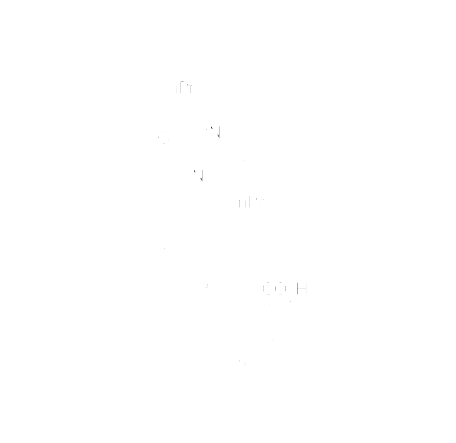 CCCc1c(C)n(CC(C)C)c(=O)n1Cc1ccc(-c2ccccc2C(=O)O)cc1